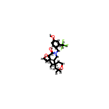 COc1ccc(CN(CCC2(C(C)C)CCOC(C)(C)C2)C(=O)c2ccco2)c(C(F)(F)F)c1